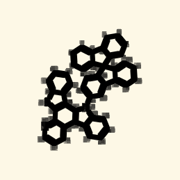 c1ccc2c(c1)-c1ccccc1C21c2ccccc2-c2cc(-n3c4ccccc4c4c5cccnc5c5sc6ccccc6c5c43)ccc21